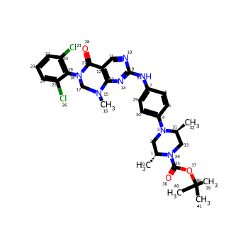 C[C@@H]1CN(c2ccc(Nc3ncc4c(n3)N(C)CN(c3c(Cl)cccc3Cl)C4=O)cc2)[C@@H](C)CN1C(=O)OC(C)(C)C